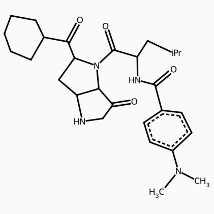 CC(C)CC(NC(=O)c1ccc(N(C)C)cc1)C(=O)N1C(C(=O)C2CCCCC2)CC2NCC(=O)C21